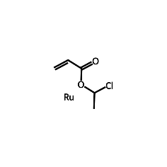 C=CC(=O)OC(C)Cl.[Ru]